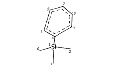 C[Si](C)(C)c1c[c]c[c]c1